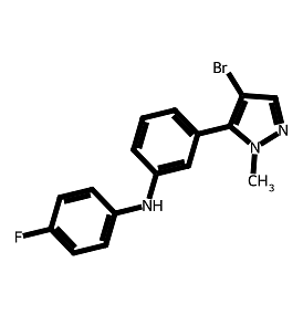 Cn1ncc(Br)c1-c1cccc(Nc2ccc(F)cc2)c1